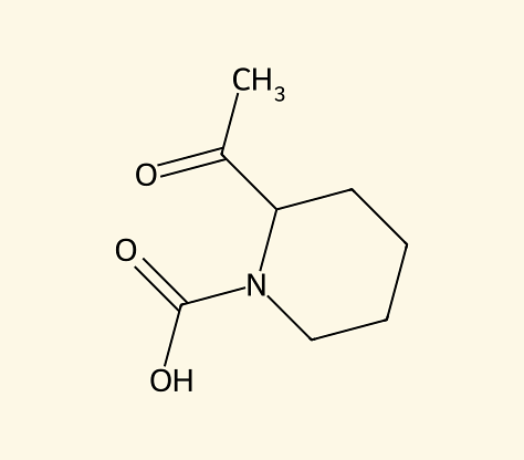 CC(=O)C1CCCCN1C(=O)O